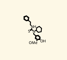 COc1cc(CN(C(=S)NCCc2ccccc2)C2CCCCC2)ccc1O